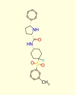 Cc1cccc(S(=O)(=O)[C@]2(F)CC[C@H](NC(=O)[C@@H]3CC[C@H](c4ccccc4)N3)CC2)c1